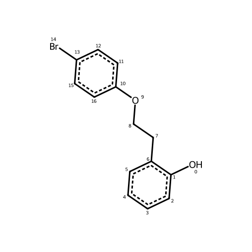 Oc1ccccc1CCOc1ccc(Br)cc1